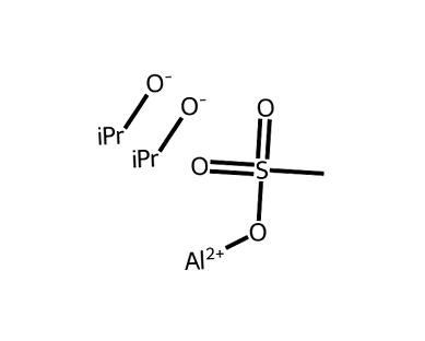 CC(C)[O-].CC(C)[O-].CS(=O)(=O)[O][Al+2]